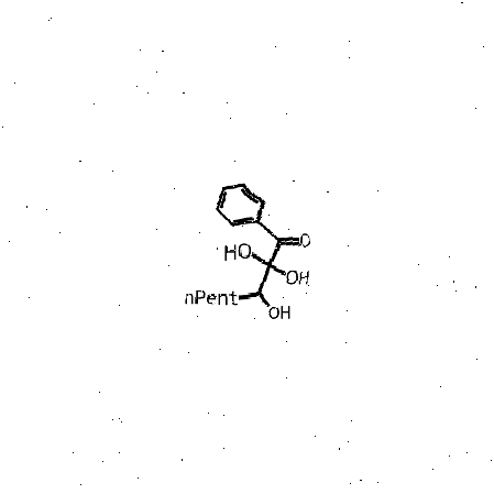 CCCCCC(O)C(O)(O)C(=O)c1ccccc1